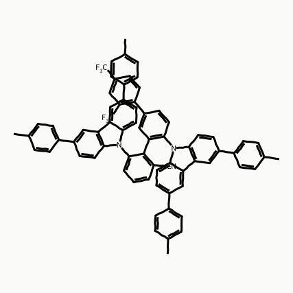 Cc1ccc(-c2ccc3c(c2)c2cc(-c4ccc(C)cc4)ccc2n3-c2ccc(-c3ccc(C(F)(F)F)cc3C(F)(F)F)cc2-c2c(C#N)cccc2-n2c3ccc(-c4ccc(C)cc4)cc3c3cc(-c4ccc(C)cc4)ccc32)cc1